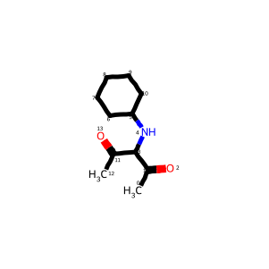 CC(=O)C(NC1CCCCC1)C(C)=O